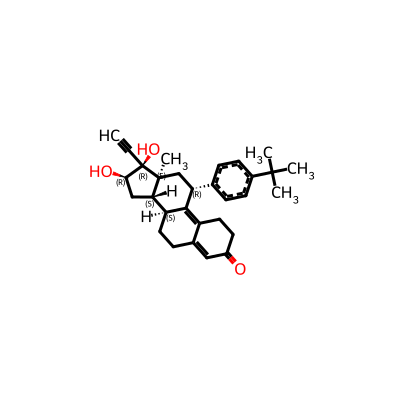 C#C[C@@]1(O)[C@H](O)C[C@H]2[C@@H]3CCC4=CC(=O)CCC4=C3[C@@H](c3ccc(C(C)(C)C)cc3)C[C@@]21C